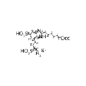 CCCCCCCCCCCCCCCc1nc2cc(S(=O)(=O)O)cc(CCC(C)S(=O)(=O)O)c2[nH]1.[K]